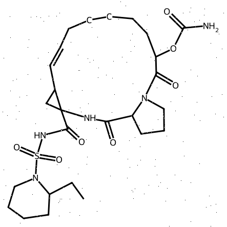 CCC1CCCCN1S(=O)(=O)NC(=O)C12CC1/C=C/CCCCCC(OC(N)=O)C(=O)N1CCCC1C(=O)N2